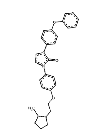 CC1CCCN1CCOc1ccc(-n2ccn(-c3ccc(Oc4ccccc4)cc3)c2=O)cc1